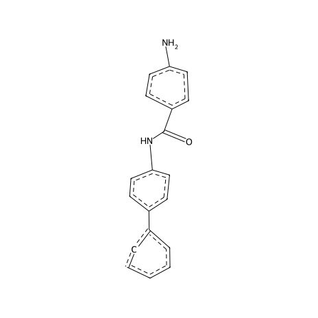 Nc1ccc(C(=O)Nc2ccc(-c3ccccc3)cc2)cc1